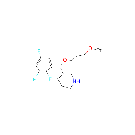 CCOCCCO[C@@H](c1cc(F)cc(F)c1F)C1CCCNC1